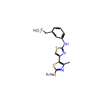 CC(=O)Nc1nc(C)c(-c2csc(Nc3cccc(CC(=O)O)c3)n2)s1